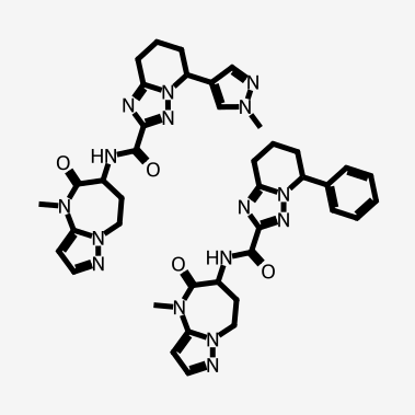 CN1C(=O)C(NC(=O)c2nc3n(n2)C(c2ccccc2)CCC3)CCn2nccc21.CN1C(=O)C(NC(=O)c2nc3n(n2)C(c2cnn(C)c2)CCC3)CCn2nccc21